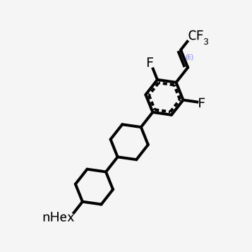 CCCCCCC1CCC(C2CCC(c3cc(F)c(/C=C/C(F)(F)F)c(F)c3)CC2)CC1